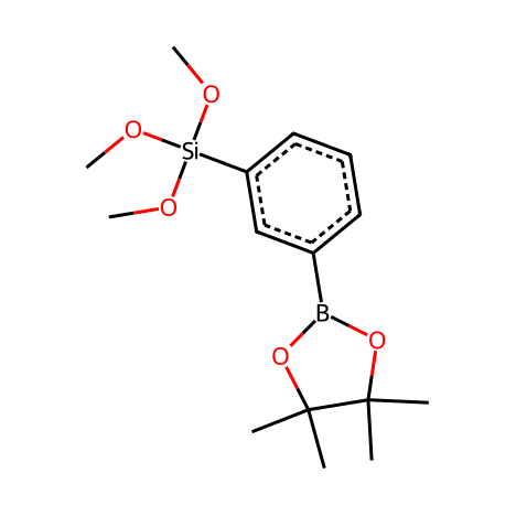 CO[Si](OC)(OC)c1cccc(B2OC(C)(C)C(C)(C)O2)c1